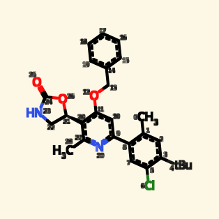 Cc1cc(C(C)(C)C)c(Cl)cc1-c1cc(OCc2ccccc2)c([C@H]2CNC(=O)O2)c(C)n1